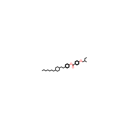 CCCCCCCC1CCC(CCc2ccc(OC(=O)c3ccc(OCC(C)CC)cc3)cc2)CC1